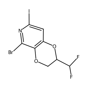 FC(F)C1COc2c(cc(I)nc2Br)O1